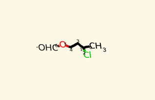 CC(Cl)CCO[C]=O